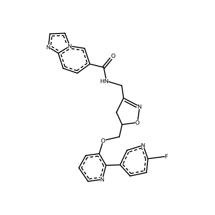 O=C(NCC1=NOC(COc2cccnc2-c2ccc(F)nc2)C1)c1ccc2nccn2c1